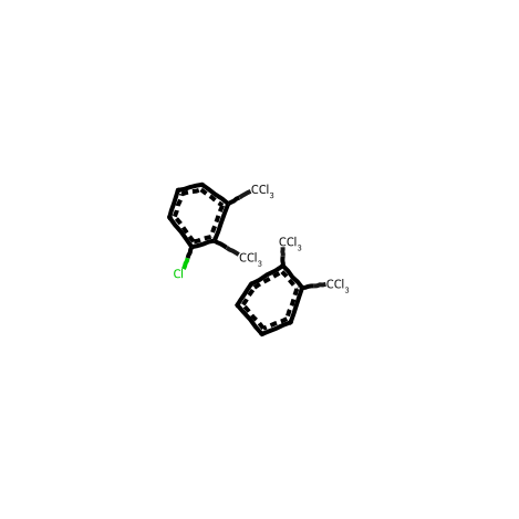 ClC(Cl)(Cl)c1ccccc1C(Cl)(Cl)Cl.Clc1cccc(C(Cl)(Cl)Cl)c1C(Cl)(Cl)Cl